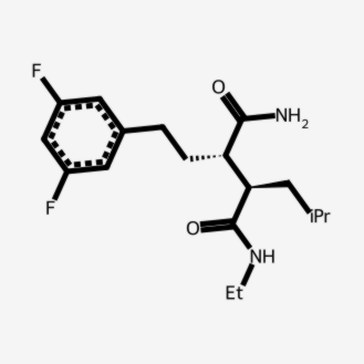 CCNC(=O)[C@H](CC(C)C)[C@H](CCc1cc(F)cc(F)c1)C(N)=O